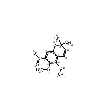 COc1c([N+](=O)[O-])cc2c(c1OC)C=CC(C)(C)O2